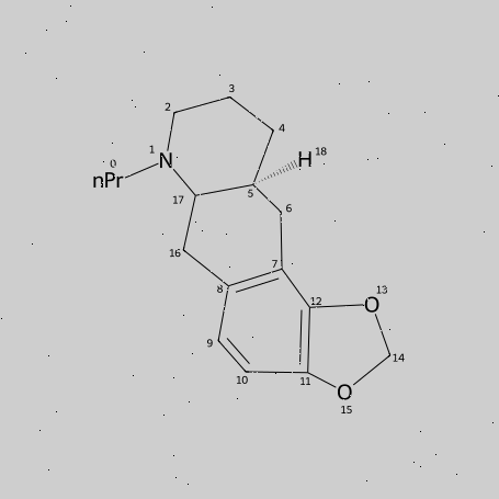 CCCN1CCC[C@H]2Cc3c(ccc4c3OCO4)CC21